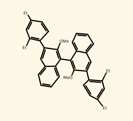 CCc1ccc(-c2cc3ccccc3c(-c3c(OC)c(-c4ccc(CC)cc4CC)cc4ccccc34)c2OC)c(CC)c1